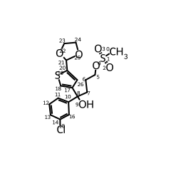 CS(=O)(=O)OCCCC(O)(c1cccc(Cl)c1)c1csc(C2OCCO2)c1